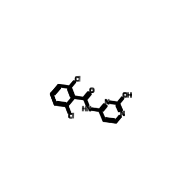 O=C(Nc1ccnc(O)n1)c1c(Cl)cccc1Cl